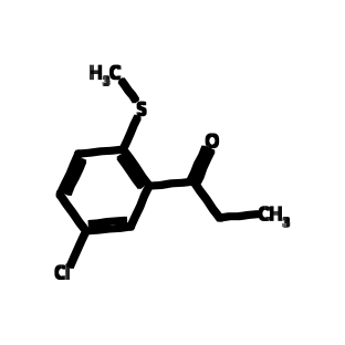 CCC(=O)c1cc(Cl)ccc1SC